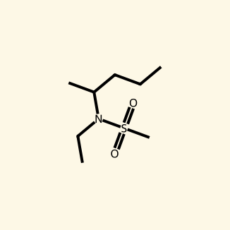 CCCC(C)N(CC)S(C)(=O)=O